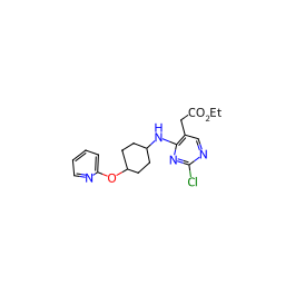 CCOC(=O)Cc1cnc(Cl)nc1NC1CCC(Oc2ccccn2)CC1